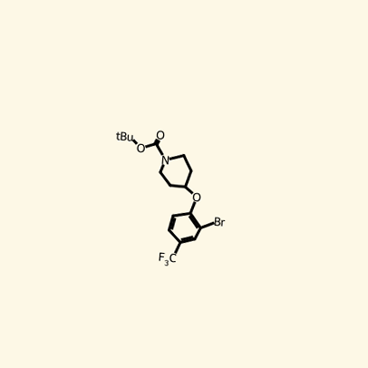 CC(C)(C)OC(=O)N1CCC(Oc2ccc(C(F)(F)F)cc2Br)CC1